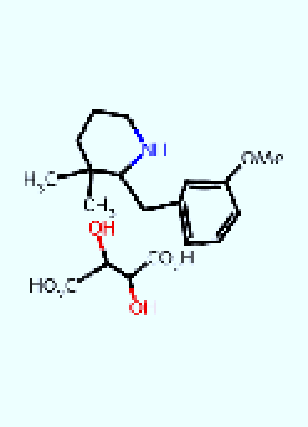 COc1cccc(CC2NCCCC2(C)C)c1.O=C(O)C(O)C(O)C(=O)O